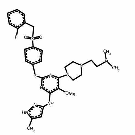 COc1c(Nc2cc(C)[nH]n2)nc(Sc2ccc(S(=O)(=O)Cc3ccccc3F)cc2)nc1N1CCN(CCN(C)C)CC1